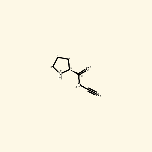 N#COC(=O)[C@@H]1CCCN1